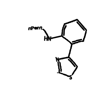 CCCCCNc1ccccc1-c1cs[c]n1